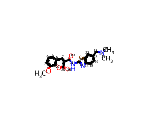 COc1cccc2cc(C(=O)Nc3nc4ccc(CN(C)C)cc4s3)c(=O)oc12